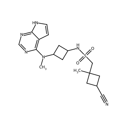 CN(c1ncnc2[nH]ccc12)C1CC(NS(=O)(=O)CC2(C)CC(C#N)C2)C1